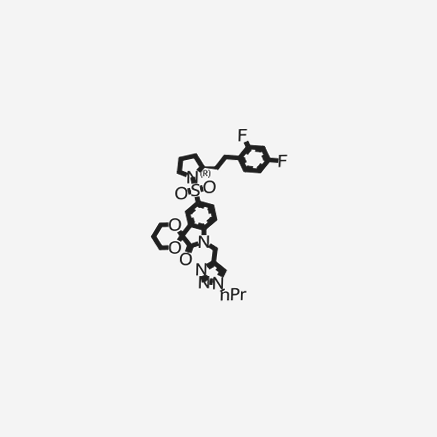 CCCn1cc(CN2C(=O)C3(OCCCO3)c3cc(S(=O)(=O)N4CCC[C@H]4CCc4ccc(F)cc4F)ccc32)nn1